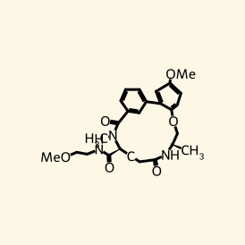 COCCNC(=O)[C@@H]1CCC(=O)N[C@H](C)COc2ccc(OC)cc2-c2cccc(c2)C(=O)N1C